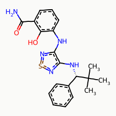 CC(C)(C)[C@@H](Nc1nsnc1Nc1cccc(C(N)=O)c1O)c1ccccc1